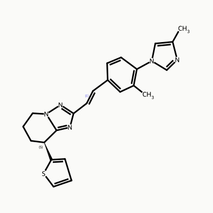 Cc1cn(-c2ccc(/C=C/c3nc4n(n3)CCC[C@@H]4c3cccs3)cc2C)cn1